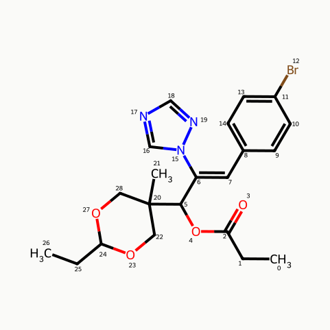 CCC(=O)OC(C(=Cc1ccc(Br)cc1)n1cncn1)C1(C)COC(CC)OC1